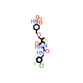 CS(=O)(=O)NC1CCC(COCc2csc3nc(C(=O)NCc4ccc(F)c(Cl)c4)[nH]c(=O)c23)CC1